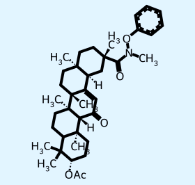 CC(=O)O[C@H]1CC[C@@]2(C)C(CC[C@]3(C)[C@@H]2C(=O)C=C2[C@@H]4C[C@@](C)(C(=O)N(C)Oc5ccccc5)CC[C@]4(C)CC[C@]23C)C1(C)C